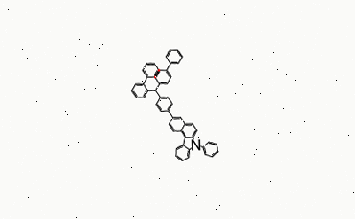 c1ccc(-c2ccc(C(c3ccc(-c4ccc5c(ccc6c5c5ccccc5n6-c5ccccc5)c4)cc3)c3ccccc3-c3ccccc3)cc2)cc1